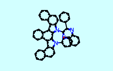 c1ccc(-c2nc3ccccc3nc2-n2c3ccc4ccccc4c3c3c4ccccc4c4c5c6ccccc6ccc5n(-c5ccccc5)c4c32)cc1